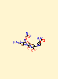 NC(=O)CO/N=C(\C(=O)N[C@@H]1C(=O)N2C(C(=O)[O-])=C(C[N+]34CCC(C(N)=O)(CC3)CC4)CS[C@@H]12)c1csc(N)n1